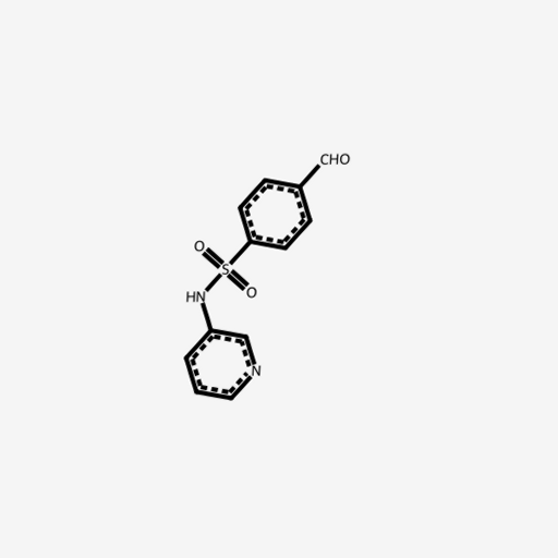 O=Cc1ccc(S(=O)(=O)Nc2cccnc2)cc1